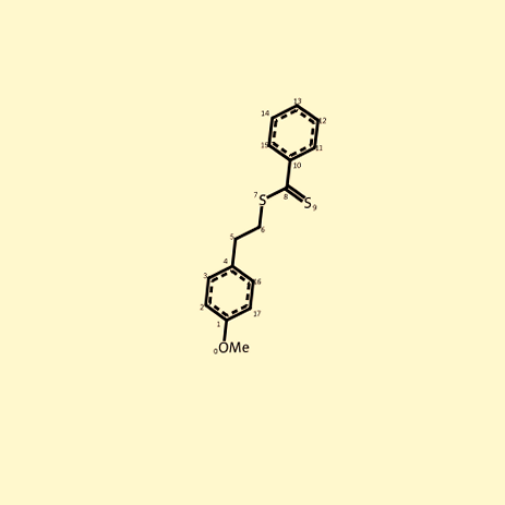 COc1ccc(CCSC(=S)c2ccccc2)cc1